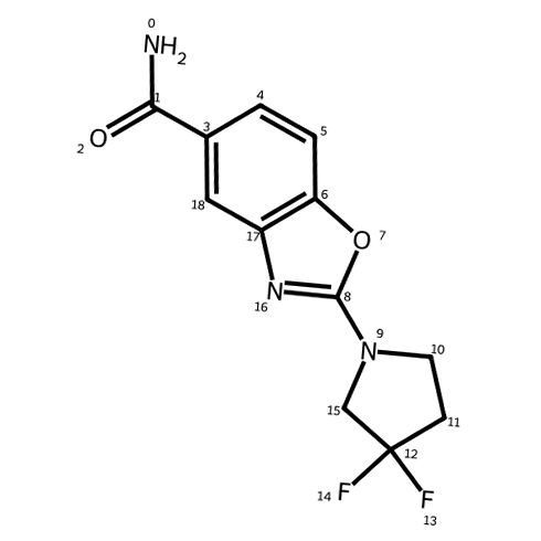 NC(=O)c1ccc2oc(N3CCC(F)(F)C3)nc2c1